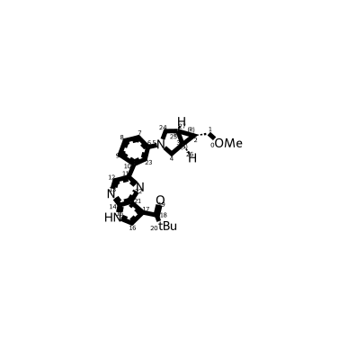 COC[C@@H]1[C@H]2CN(c3cccc(-c4cnc5[nH]cc(C(=O)C(C)(C)C)c5n4)c3)C[C@@H]12